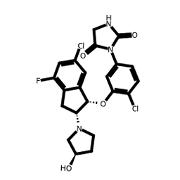 O=C1CNC(=O)N1c1ccc(Cl)c(O[C@H]2c3cc(Cl)cc(F)c3C[C@H]2N2CC[C@@H](O)C2)c1